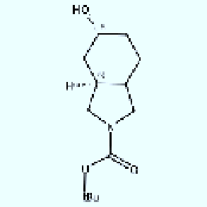 CC(C)(C)OC(=O)N1CC2CC[C@@H](O)C[C@@H]2C1